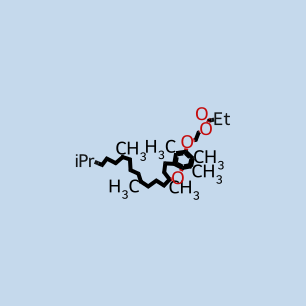 CCC(=O)OCCOc1c(C)c(C)c2c(c1C)CC[C@@](C)(CCC[C@H](C)CCC[C@H](C)CCCC(C)C)O2